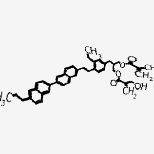 C=C(C)C(=O)OCC(COC(=O)C(=C)CO)Cc1ccc(CCc2ccc3cc(-c4ccc5cc(CCC)ccc5c4)ccc3c2)c(CC)c1